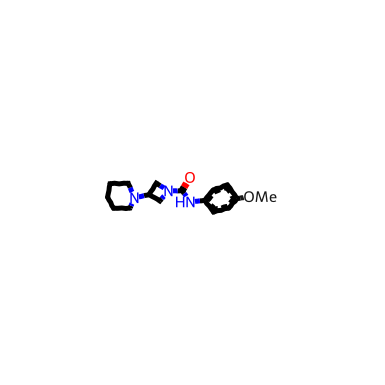 COc1ccc(NC(=O)N2CC(N3CCCCC3)C2)cc1